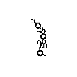 CCc1ccc(N2CC[C@]3(CC[C@H](OC(=O)NCc4cccc(F)c4)CC3)C2=O)cc1